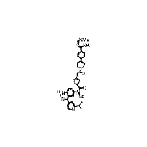 CCN(C(=O)C1CCN(CC(=O)N2CC=C(c3ccc(C(=N)/N=C\NC)cc3)CC2)C1)c1ccc(N)c(C(=N)c2ccnc(C(F)F)c2)c1